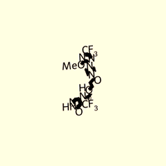 COc1nc(C(F)(F)F)cnc1N1CCN(C(=O)CCOC[C@H](C)Nc2cn[nH]c(=O)c2C(F)(F)F)CC1